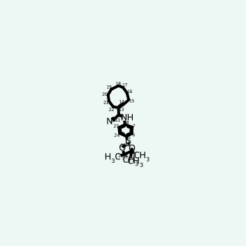 CC1(C)OB(c2ccc(NC(C#N)/C3=C/CCCCCCCC3)cc2)OC1(C)C